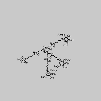 COP(=O)(O)OCCCCCCNC(=O)CCCNC(=O)[C@H](CCC(=O)NCCCCO[C@@H]1O[C@H](CO)[C@H](O)[C@H](O)[C@H]1NC(C)=O)NC(=O)[C@H](CCC(=O)NCCCCO[C@@H]1O[C@H](CO)[C@H](O)[C@H](O)[C@H]1NC(C)=O)NC(=O)CCCCO[C@@H]1O[C@H](CO)[C@H](O)[C@H](O)[C@H]1NC(C)=O